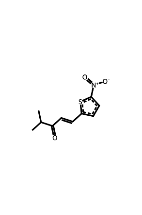 CC(C)C(=O)/C=C/c1ccc([N+](=O)[O-])s1